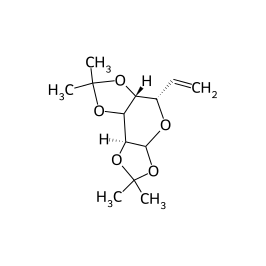 C=C[C@@H]1OC2OC(C)(C)O[C@H]2C2OC(C)(C)O[C@@H]21